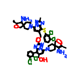 Cc1nc2c(Sc3cccc(Cl)c3Cl)c(COc3nc4c(-c5cccc(Cl)c5Cl)c(CO)cc(N5CCC6(CC5)CO[C@@H](C)[C@H]6N)n4n3)cc(N3CCC4(CC3)CO[C@@H](C)C4N)n2n1